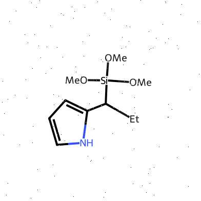 CCC(c1ccc[nH]1)[Si](OC)(OC)OC